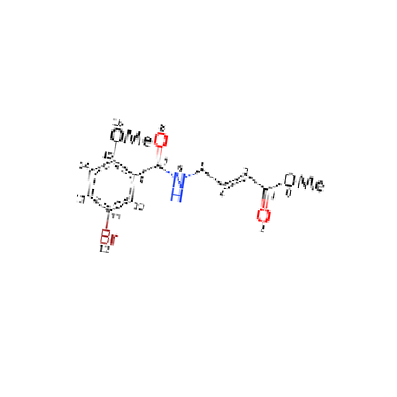 COC(=O)/C=C/CNC(=O)c1cc(Br)ccc1OC